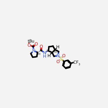 CC(C)(C)OC(=O)N1CCC[C@H]1C(=O)N[C@H]1CC[C@@H]2CN(S(=O)(=O)c3cccc(C(F)(F)F)c3)C[C@@H]21